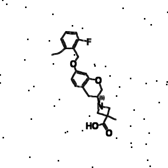 CCc1cccc(F)c1COc1ccc2c(c1)OC[C@@H](N1CC(C)(C(=O)O)C1)C2